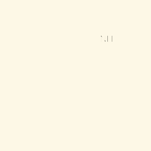 [C]#CC1CCNCC1